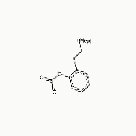 CCCCCCCCCc1ccccc1O[SH](=O)=O